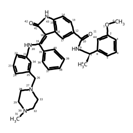 COc1cccc([C@@H](C)NC(=O)c2ccc3c(c2)/C(=C(/Nc2cccc(CN4CCN(C)CC4)c2)c2ccccc2)C(=O)N3)c1